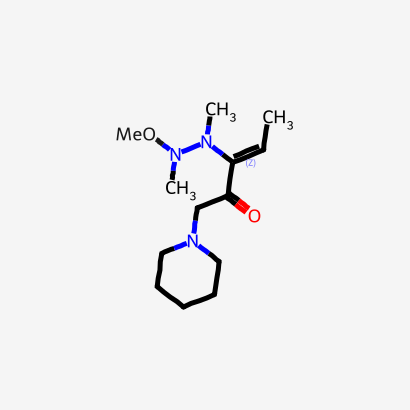 C/C=C(/C(=O)CN1CCCCC1)N(C)N(C)OC